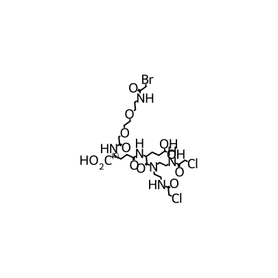 O=C(CCl)NCCN(CCNC(=O)CCl)C(=O)C(CCC(O)O)NC(=O)CC[C@H](NC(=O)COCCOCCNC(=O)CBr)C(=O)O